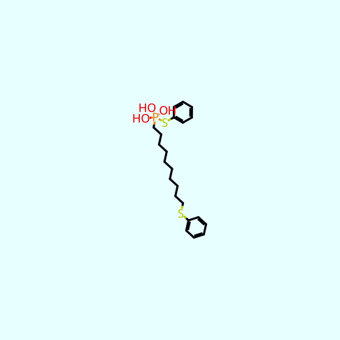 OP(O)(O)(CCCCCCCCCCSc1ccccc1)Sc1ccccc1